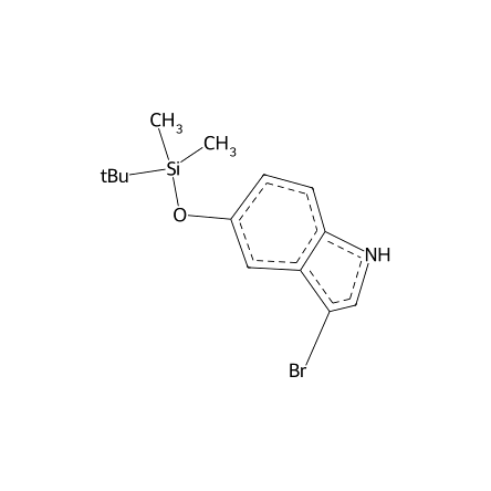 CC(C)(C)[Si](C)(C)Oc1ccc2[nH]cc(Br)c2c1